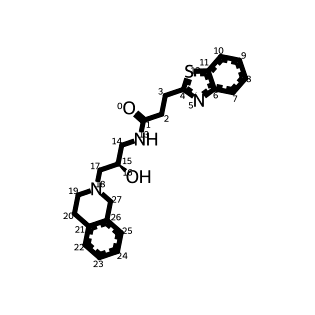 O=C(CCc1nc2ccccc2s1)NC[C@@H](O)CN1CCc2ccccc2C1